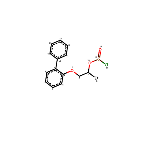 CCC(COc1ccccc1-c1ccccc1)OS(=O)Cl